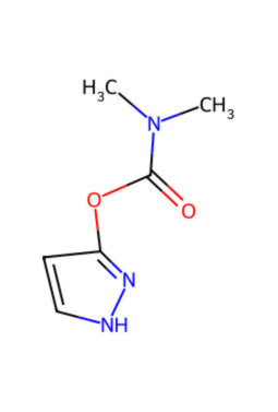 CN(C)C(=O)Oc1cc[nH]n1